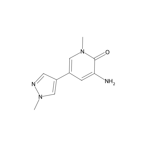 Cn1cc(-c2cc(N)c(=O)n(C)c2)cn1